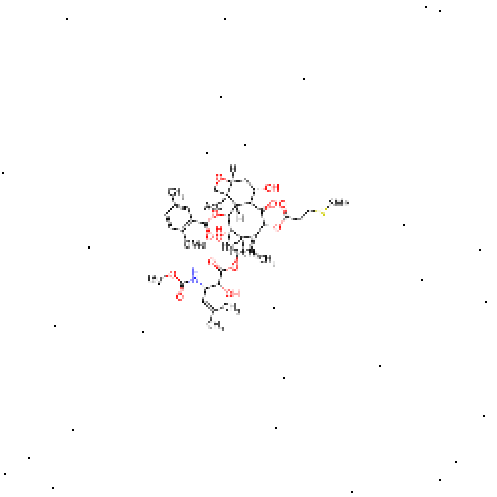 COc1ccc(C)cc1C(=O)O[C@H]1[C@H]2C(C(=O)[C@H](OC(=O)CCSSC)C3=C(C)[C@@H](OC(=O)[C@H](O)[C@H](C=C(C)C)NC(=O)OC(C)(C)C)C[C@]1(O)C3(C)C)[C@@H](O)C[C@H]1OC[C@@]21OC(C)=O